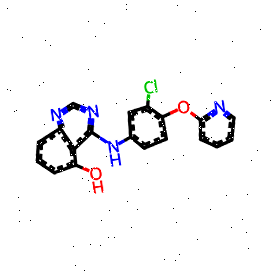 Oc1cccc2ncnc(Nc3ccc(Oc4ccccn4)c(Cl)c3)c12